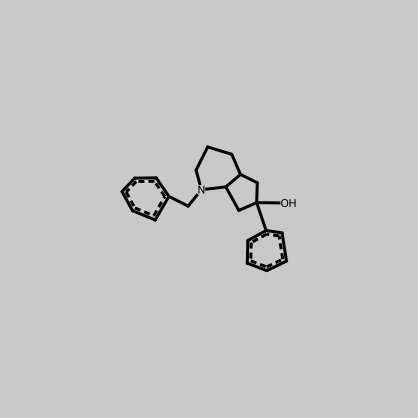 OC1(c2ccccc2)CC2CCCN(Cc3ccccc3)C2C1